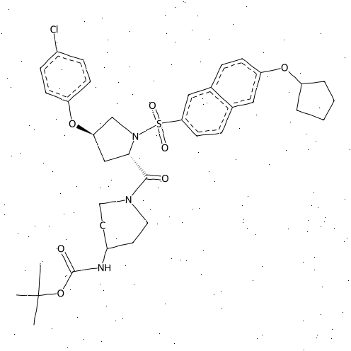 CC(C)(C)OC(=O)NC1CCN(C(=O)[C@@H]2C[C@@H](Oc3ccc(Cl)cc3)CN2S(=O)(=O)c2ccc3cc(OC4CCCC4)ccc3c2)CC1